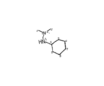 C[N+](C)NC1CCCCC1